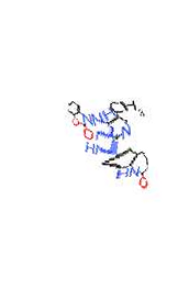 Cc1cnc(Nc2ccc3c(c2)CCCC(=O)N3)nc1Nn1c(=O)oc2ccccc21